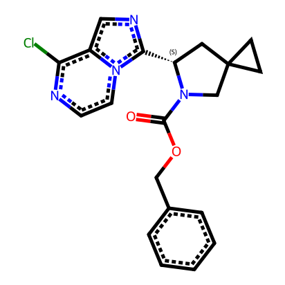 O=C(OCc1ccccc1)N1CC2(CC2)C[C@H]1c1ncc2c(Cl)nccn12